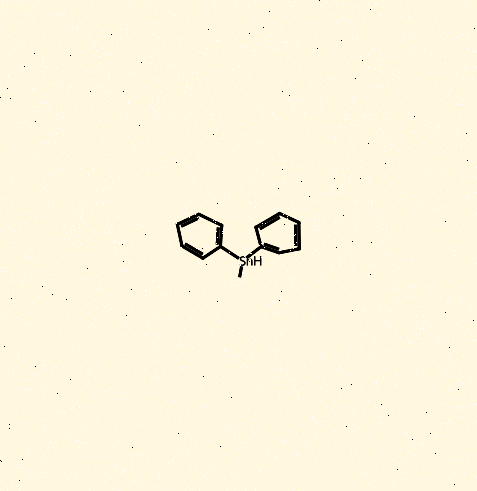 [CH3][SnH]([c]1ccccc1)[c]1ccccc1